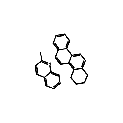 Cc1ccc2ccccc2n1.c1ccc2c(c1)ccc1c3c(ccc12)CCCC3